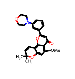 COc1cc2c(c3oc(-c4cccc(N5CCOCC5)c4)cc(=O)c13)C=CC(C)(C)O2